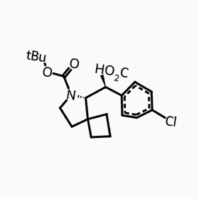 CC(C)(C)OC(=O)N1CCC2(CCC2)[C@H]1[C@@H](C(=O)O)c1ccc(Cl)cc1